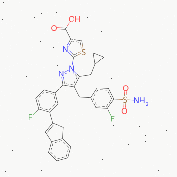 NS(=O)(=O)c1ccc(Cc2c(-c3ccc(F)c(C4=Cc5ccccc5C4)c3)nn(-c3nc(C(=O)O)cs3)c2CC2CC2)cc1F